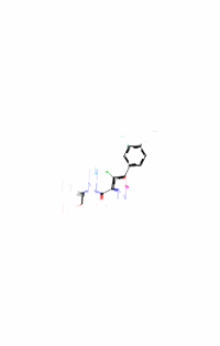 CC(C)[C@H](CO)NC(=O)c1noc(-c2ccc(C(F)(F)F)c(F)c2)c1Cl